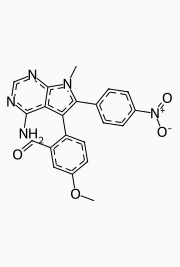 COc1ccc(-c2c(-c3ccc([N+](=O)[O-])cc3)n(C)c3ncnc(N)c23)c(C=O)c1